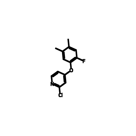 Cc1cc(F)c(Oc2ccnc(Cl)c2)cc1C